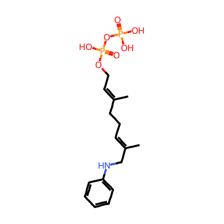 CC(=CCC/C(C)=C/COP(=O)(O)OP(=O)(O)O)CNc1ccccc1